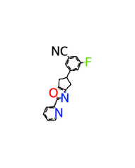 N#Cc1cc(F)cc(C2Cc3nc(-c4ccccn4)oc3C2)c1